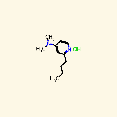 CCCCc1cc(N(C)C)ccn1.Cl